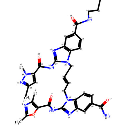 CCc1nc(C)oc1C(=O)Nc1nc2cc(C(N)=O)ccc2n1CC=CCn1c(NC(=O)c2cc(C)nn2CC)nc2cc(C(=O)NCCCO)ccc21